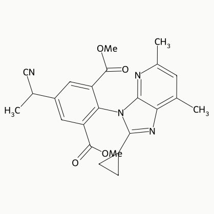 COC(=O)c1cc(C(C)C#N)cc(C(=O)OC)c1-n1c(C2CC2)nc2c(C)cc(C)nc21